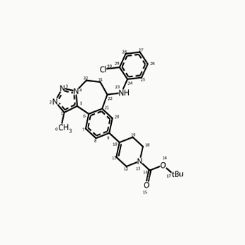 Cc1nnn2c1-c1ccc(C3=CCN(C(=O)OC(C)(C)C)CC3)cc1C(Nc1ccccc1Cl)CC2